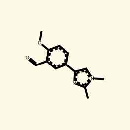 COc1ccc(-c2cn(C)c(C)n2)cc1C=O